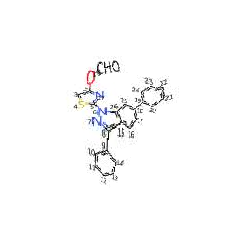 O=COc1csc(-n2nc(-c3ccccc3)c3ccc(-c4ccccc4)cc32)n1